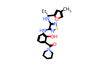 CC[C@@H](Nc1nsnc1Nc1cccc(C(=O)N2CCCCC2)c1O)c1cc(C)co1